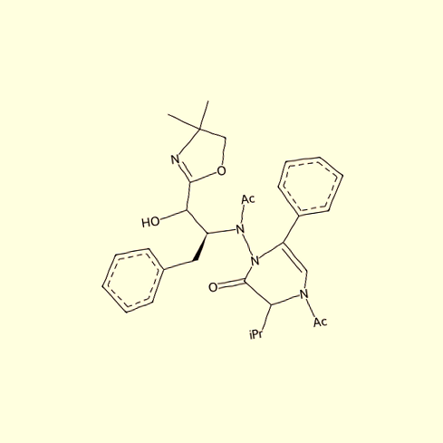 CC(=O)N1C=C(c2ccccc2)N(N(C(C)=O)[C@@H](Cc2ccccc2)C(O)C2=NC(C)(C)CO2)C(=O)C1C(C)C